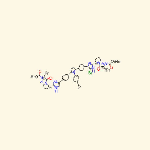 COC(=O)N[C@H](C(=O)N1CCC[C@H]1c1nc(-c2ccc(-c3ccc(-c4ccc(-c5nc([C@@H]6CCCN6C(=O)[C@@H](NC(=O)OC)C(C)C)[nH]c5Br)cc4)n3-c3ccc(C4CC4)cc3)cc2)c[nH]1)C(C)C